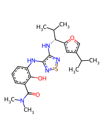 CC(C)c1coc([C@H](Nc2nsnc2Nc2cccc(C(=O)N(C)C)c2O)C(C)C)c1